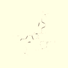 COC(=O)c1cc2nc(Nc3ccc(OC(F)(F)F)cc3)n(C3CC(C)CC(C)(C)C3)c2cc1OCC(F)(F)F